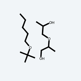 CC(O)COC(C)CO.CCCCCOC(C)(C)C